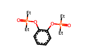 CCP(=O)(CC)Oc1ccccc1OP(=O)(CC)CC